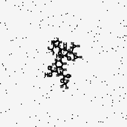 CC(C)n1nccc1C(=O)N[C@H](C(=O)Nc1ccc2c(c1)CN(C(=O)OC(C)(C)C)CC2C(=O)O)C(C1CC1)C1CC1